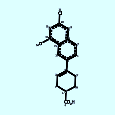 O=C(O)N1CC=C(c2ccc3nc(Cl)n[n+]([O-])c3c2)CC1